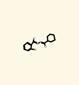 ClC(=NN=C(Cl)C1CCCCC1)c1ccccc1Cl